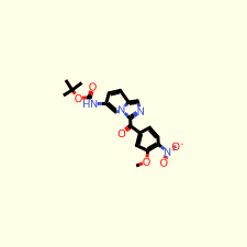 COc1cc(C(=O)c2ncc3ccc(NC(=O)OC(C)(C)C)cn23)ccc1[N+](=O)[O-]